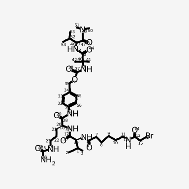 CC(C)[C@H](NC(=O)CCCCCNC(=O)CBr)C(=O)N[C@@H](CCCNC(N)=O)C(=O)Nc1ccc(COC(=O)NC(C)(C)C(=O)N[C@H](C(=O)N(C)C)C(C)C)cc1